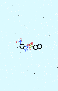 O=[N+]([O-])c1ccc2nnn(OS(=O)(=O)c3ccc4ccccc4c3)c2c1